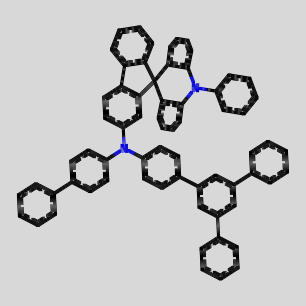 c1ccc(-c2ccc(N(c3ccc(-c4cc(-c5ccccc5)cc(-c5ccccc5)c4)cc3)c3ccc4c(c3)C3(c5ccccc5-4)c4ccccc4N(c4ccccc4)c4ccccc43)cc2)cc1